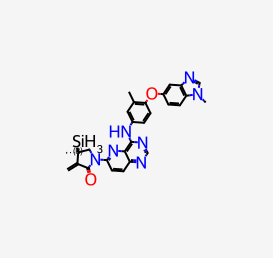 C=C1C(=O)N(c2ccc3ncnc(Nc4ccc(Oc5ccc6c(c5)ncn6C)c(C)c4)c3n2)C[C@]1(C)[SiH3]